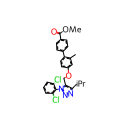 COC(=O)c1ccc(-c2ccc(OCc3c(C(C)C)nnn3-c3c(Cl)cccc3Cl)cc2C)cc1